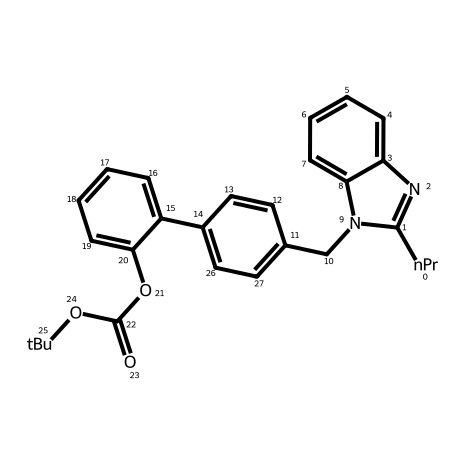 CCCc1nc2ccccc2n1Cc1ccc(-c2ccccc2OC(=O)OC(C)(C)C)cc1